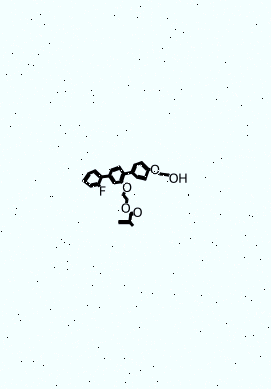 C=C(C)C(=O)OCCOc1cc(-c2ccccc2F)ccc1-c1ccc(OCCO)cc1